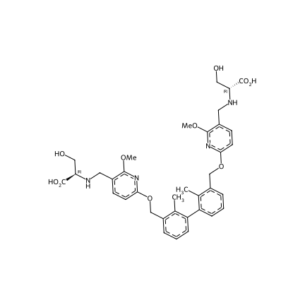 COc1nc(OCc2cccc(-c3cccc(COc4ccc(CN[C@H](CO)C(=O)O)c(OC)n4)c3C)c2C)ccc1CN[C@H](CO)C(=O)O